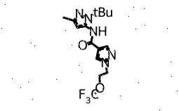 Cc1cc(NC(=O)c2cnn(CCOC(F)(F)F)c2)n(C(C)(C)C)n1